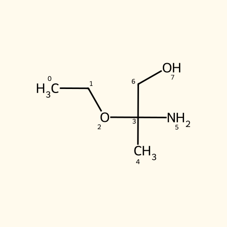 CCOC(C)(N)CO